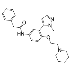 Cn1nccc1-c1cc(NC(=O)Cc2ccccc2)ccc1OCCN1CCCCC1